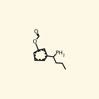 CCCC(P)c1cccc(OC=O)c1